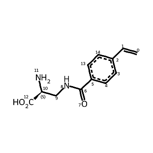 C=Cc1ccc(C(=O)NC[C@H](N)C(=O)O)cc1